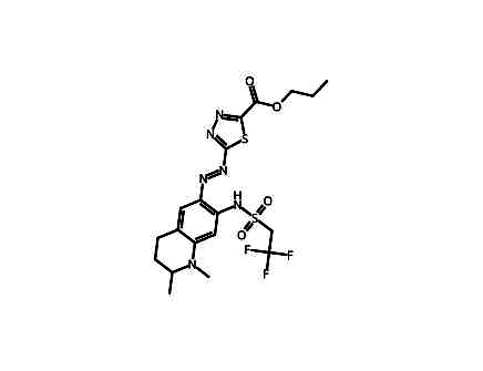 CCCOC(=O)c1nnc(N=Nc2cc3c(cc2NS(=O)(=O)CC(F)(F)F)N(C)C(C)CC3)s1